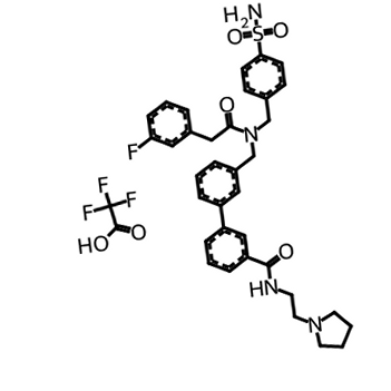 NS(=O)(=O)c1ccc(CN(Cc2cccc(-c3cccc(C(=O)NCCN4CCCC4)c3)c2)C(=O)Cc2cccc(F)c2)cc1.O=C(O)C(F)(F)F